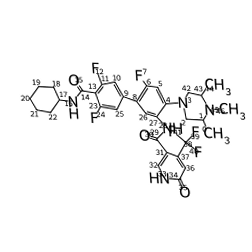 CC1CN(c2cc(F)c(-c3cc(F)c(C(=O)NC4CCCCC4)c(F)c3)cc2NC(=O)c2c[nH]c(=O)cc2C(F)(F)F)CC(C)N1C